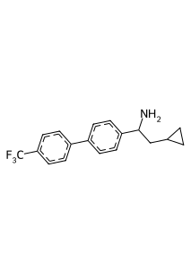 NC(CC1CC1)c1ccc(-c2ccc(C(F)(F)F)cc2)cc1